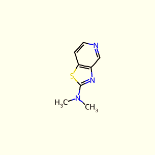 CN(C)c1nc2cnccc2s1